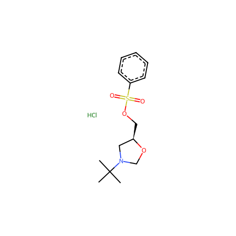 CC(C)(C)N1CO[C@H](COS(=O)(=O)c2ccccc2)C1.Cl